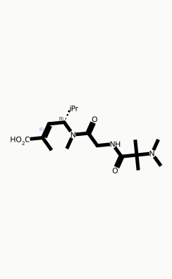 C/C(=C\[C@H](C(C)C)N(C)C(=O)CNC(=O)C(C)(C)N(C)C)C(=O)O